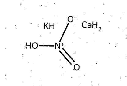 O=[N+]([O-])O.[CaH2].[KH]